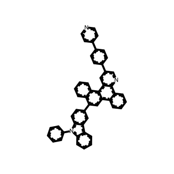 c1ccc(-n2c3ccccc3c3cc(-c4cc5c6ccccc6c6ncc(-c7ccc(-c8ccncc8)cc7)cc6c5c5ccccc45)ccc32)cc1